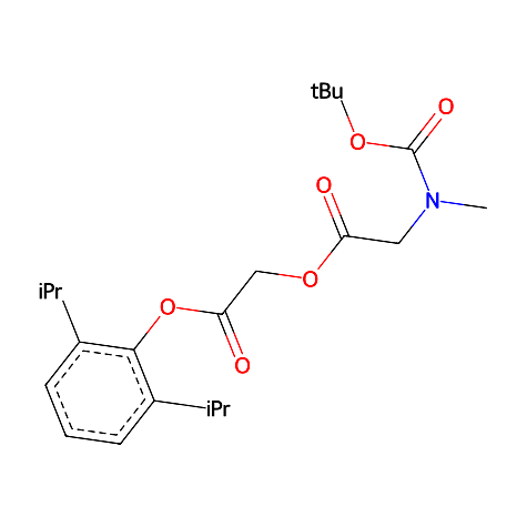 CC(C)c1cccc(C(C)C)c1OC(=O)COC(=O)CN(C)C(=O)OC(C)(C)C